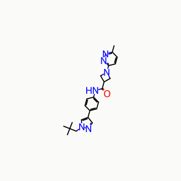 Cc1ccc(N2CC(C(=O)Nc3ccc(-c4cnn(CC(C)(C)C)c4)cc3)C2)nn1